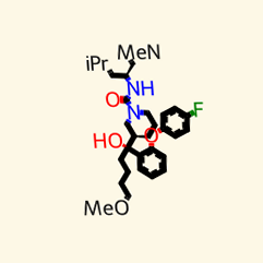 CNC[C@H](CC(C)C)NC(=O)N1CCC[C@@H]([C@@](O)(CCCCOC)c2ccccc2Oc2ccc(F)cc2)C1